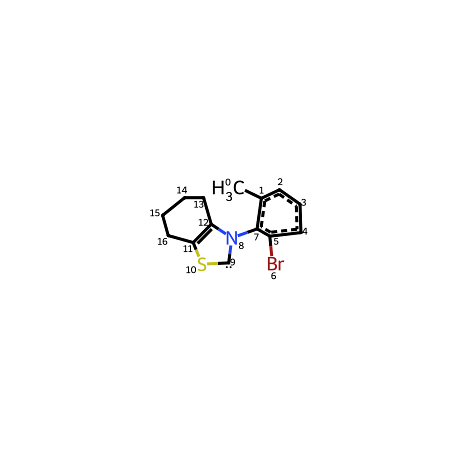 Cc1cccc(Br)c1N1[C]SC2=C1CCCC2